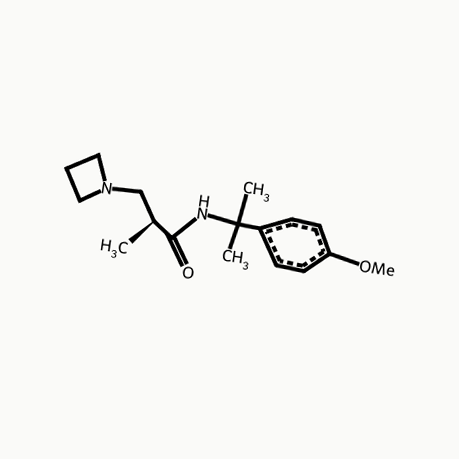 COc1ccc(C(C)(C)NC(=O)[C@@H](C)CN2CCC2)cc1